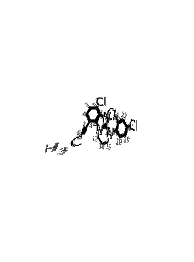 CC#Cc1ccc(Cl)c2nc3n(c12)CCCN3c1ccc(Cl)cc1Cl